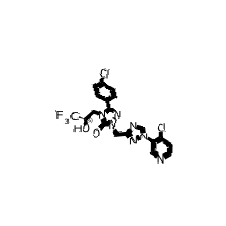 O=c1n(Cc2ncn(-c3cnccc3Cl)n2)nc(-c2ccc(Cl)cc2)n1C[C@H](O)C(F)(F)F